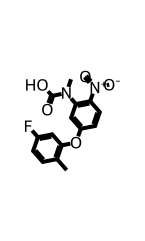 Cc1ccc(F)cc1Oc1ccc([N+](=O)[O-])c(N(C)C(=O)O)c1